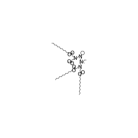 CCCCCCCCCCCCOC(=O)CCN(CCC(=O)OCCCCCCCCCCCC)CCN(CCN(CCN(CCC(=O)OC)CCC(=O)OCCCCCCCCCCCC)C1CCCCC1)C(C)CC